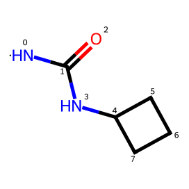 [NH]C(=O)NC1CCC1